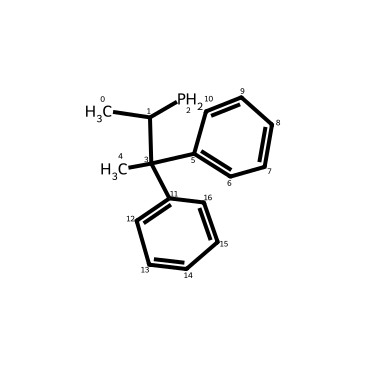 CC(P)C(C)(c1ccccc1)c1ccccc1